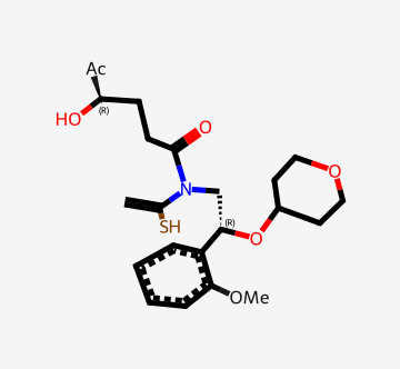 C=C(S)N(C[C@H](OC1CCOCC1)c1ccccc1OC)C(=O)CC[C@@H](O)C(C)=O